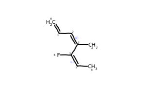 C=C/C=C(C)\C(F)=C/C